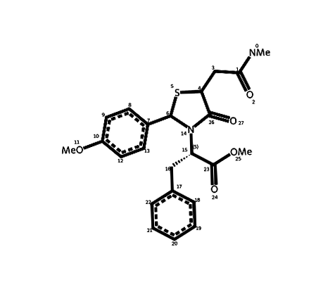 CNC(=O)CC1SC(c2ccc(OC)cc2)N([C@@H](Cc2ccccc2)C(=O)OC)C1=O